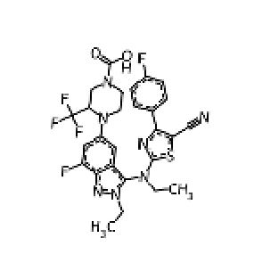 CCN(c1nc(-c2ccc(F)cc2)c(C#N)s1)c1c2cc(N3CCN(C(=O)O)CC3C(F)(F)F)cc(F)c2nn1CC